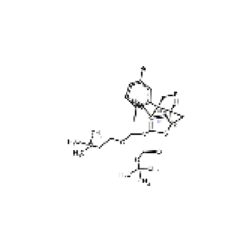 CC(C)(C)OC(=O)N(COCC[Si](C)(C)C)C1=N[C@](CF)(c2cc(Br)ccc2F)[C@@H]2C[C@]2(/C=C/C#N)S1